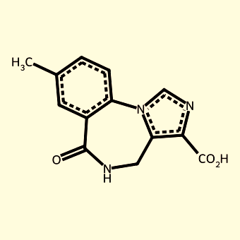 Cc1ccc2c(c1)C(=O)NCc1c(C(=O)O)ncn1-2